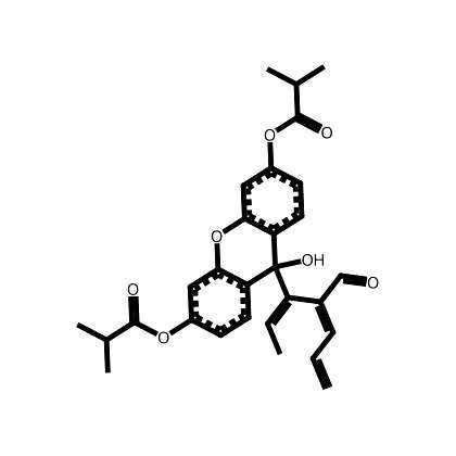 C=C/C=C(C=O)\C(=C/C)C1(O)c2ccc(OC(=O)C(C)C)cc2Oc2cc(OC(=O)C(C)C)ccc21